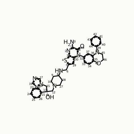 Nc1nc2sc(CNC3CCN(C[C@](O)(Cn4cncn4)c4ccccc4)CC3)cc2n(-c2ccc3c(c2)N(c2ccccc2)CCO3)c1=O